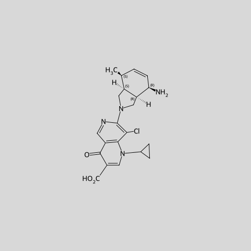 C[C@H]1C=C[C@@H](N)[C@H]2CN(c3ncc4c(=O)c(C(=O)O)cn(C5CC5)c4c3Cl)C[C@H]21